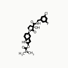 CN(C)C(=O)Oc1cc2cc(N3CC[C@@](O)(C(=O)NCc4cc(F)cc(Cl)c4)C3=O)ccc2[nH]1